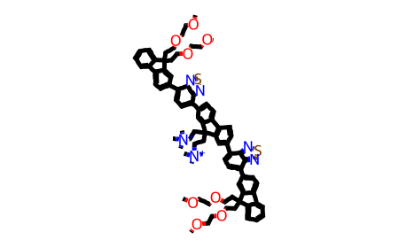 COCCOCCC1(CCOCCOC)c2ccccc2-c2ccc(-c3ccc(-c4ccc5c(c4)C(CC[N+](C)(C)C)(CC[N+](C)(C)C)c4cc(-c6ccc(-c7ccc8c(c7)C(CCOCCOC)(CCOCCOC)c7ccccc7-8)c7nsnc67)ccc4-5)c4nsnc34)cc21